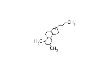 CCCCN1CCC2=C(CCc3c(C)cc(C)cc32)C1